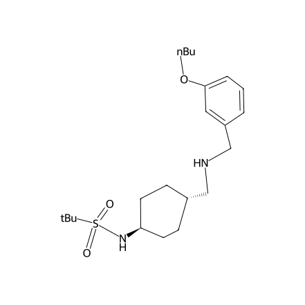 CCCCOc1cccc(CNC[C@H]2CC[C@H](NS(=O)(=O)C(C)(C)C)CC2)c1